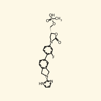 CP(=O)(O)OC[C@H]1CN(c2ccc(-c3ccc4c(c3)CN(c3ncc[nH]3)C4)c(F)c2)C(=O)O1